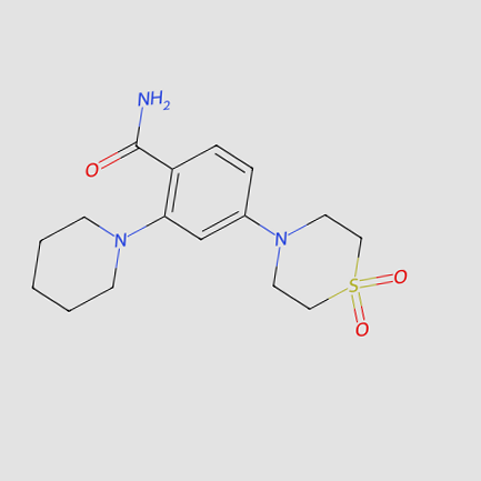 NC(=O)c1ccc(N2CCS(=O)(=O)CC2)cc1N1CCCCC1